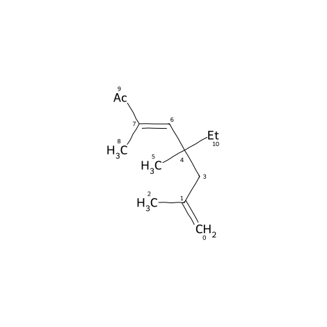 C=C(C)CC(C)(C=C(C)C(C)=O)CC